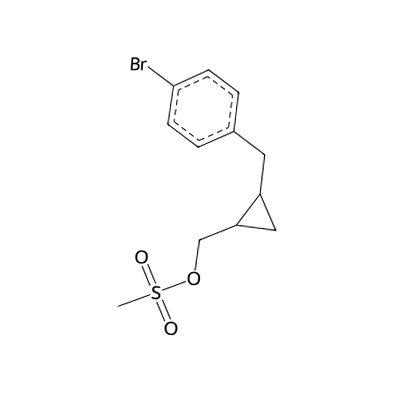 CS(=O)(=O)OCC1CC1Cc1ccc(Br)cc1